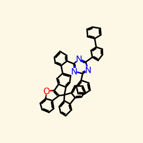 c1ccc(-c2cccc(-c3nc(-c4ccccc4)nc(-c4ccccc4-c4ccc5c(c4)-c4oc6ccccc6c4C54c5ccccc5-c5ccccc54)n3)c2)cc1